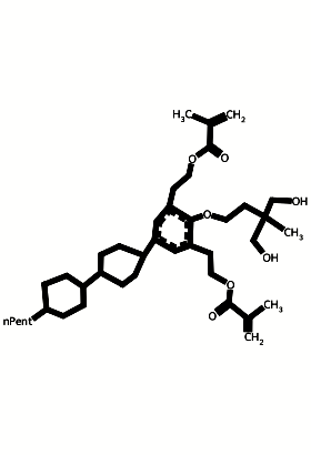 C=C(C)C(=O)OCCc1cc(C2CCC(C3CCC(CCCCC)CC3)CC2)cc(CCOC(=O)C(=C)C)c1OCCC(C)(CO)CO